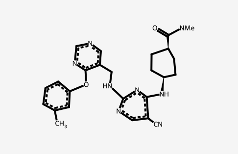 CNC(=O)[C@H]1CC[C@@H](Nc2nc(NCc3cncnc3Oc3cccc(C)c3)ncc2C#N)CC1